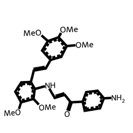 COc1cc(C=Cc2ccc(OC)c(OC)c2NC=CC(=O)c2ccc(N)cc2)cc(OC)c1OC